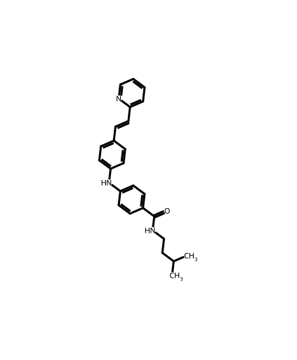 CC(C)CCNC(=O)c1ccc(Nc2ccc(C=Cc3ccccn3)cc2)cc1